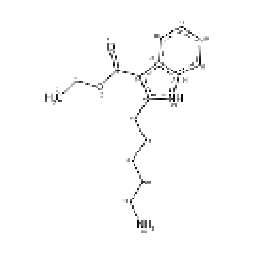 CCOC(=O)c1c(CCCCCN)[nH]c2ccccc12